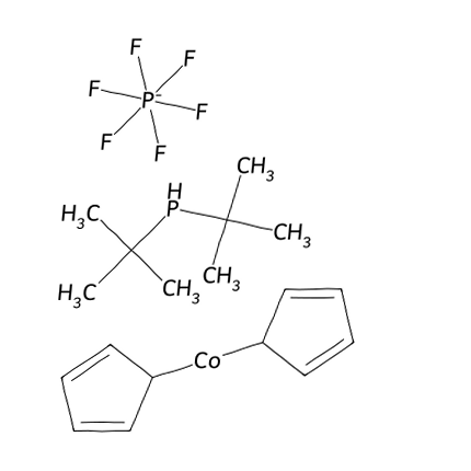 C1=C[CH]([Co][CH]2C=CC=C2)C=C1.CC(C)(C)PC(C)(C)C.F[P-](F)(F)(F)(F)F